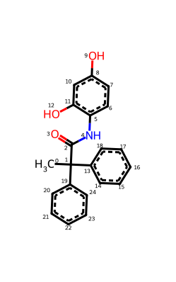 CC(C(=O)Nc1ccc(O)cc1O)(c1ccccc1)c1ccccc1